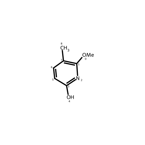 COc1nc(O)ccc1C